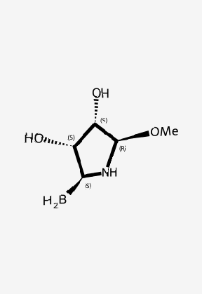 B[C@@H]1N[C@H](OC)[C@@H](O)[C@H]1O